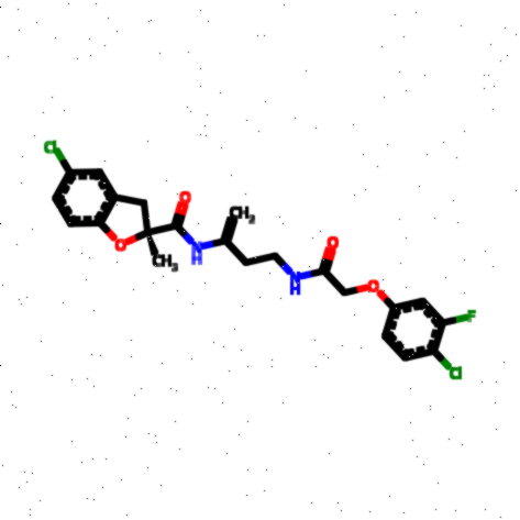 C=C(CCNC(=O)COc1ccc(Cl)c(F)c1)NC(=O)[C@@]1(C)Cc2cc(Cl)ccc2O1